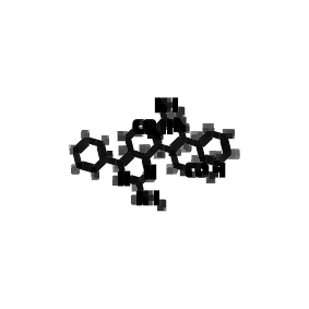 Nc1nc(-c2ccccc2)c(CC(=O)O)c(-c2nc(N)nc(-c3ccccc3)c2CC(=O)O)n1